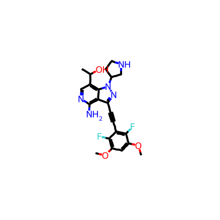 COc1cc(OC)c(F)c(C#Cc2nn(C3CCNC3)c3c(C(C)O)cnc(N)c23)c1F